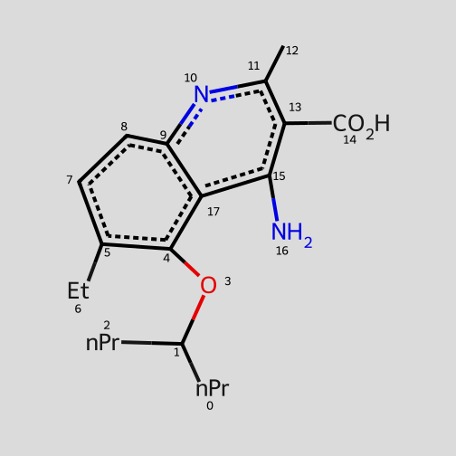 CCCC(CCC)Oc1c(CC)ccc2nc(C)c(C(=O)O)c(N)c12